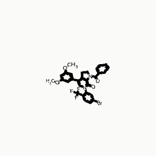 COc1cc(OC)cc(-c2cn(-c3cc(Br)ccc3C(F)(F)F)c(=O)c3c2CCN3C(=O)c2ccccc2)c1